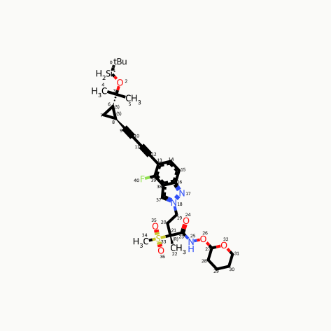 CC(C)(C)[SiH2]OC(C)(C)[C@H]1C[C@@H]1C#CC#Cc1ccc2nn(CC[C@](C)(C(=O)NOC3CCCCO3)S(C)(=O)=O)cc2c1F